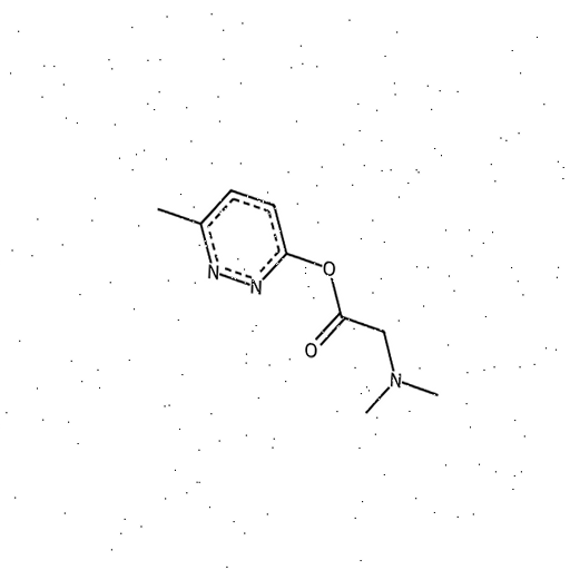 Cc1ccc(OC(=O)CN(C)C)nn1